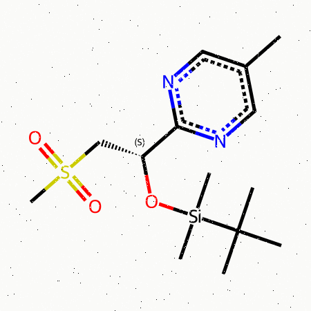 Cc1cnc([C@@H](CS(C)(=O)=O)O[Si](C)(C)C(C)(C)C)nc1